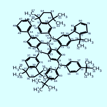 CC(C)(C)c1ccc(N(c2ccc(C(C)(C)C)cc2)c2cc3c4c(c2)N(c2ccc5c(c2)C(C)(C)CCC5(C)C)c2ccc(-c5ccccc5)cc2B4N(c2ccc4c(c2)C(C)(C)CCC4(C)C)c2cc4c(cc2-3)C(C)(C)c2ccccc2-4)cc1